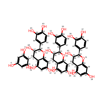 Oc1cc(O)c([C@H]2c3c(O)cc(O)c([C@H]4c5c(O)cc(O)c([C@H]6c7c(O)cc(O)cc7O[C@H](c7ccc(O)c(O)c7)[C@@H]6O)c5O[C@H](c5ccc(O)c(O)c5)[C@@H]4O)c3O[C@H](c3ccc(O)c(O)c3)[C@@H]2O)c(O)c1